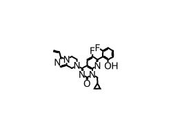 C=Cc1ncc2n1CCN(c1nc(=O)n(CC3CC3)c3nc(-c4c(O)cccc4F)c(F)cc13)C2